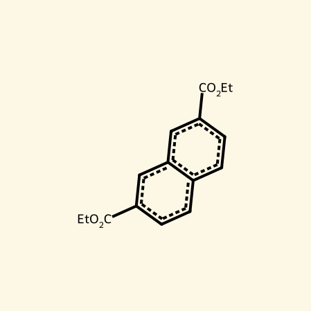 CCOC(=O)c1ccc2ccc(C(=O)OCC)cc2c1